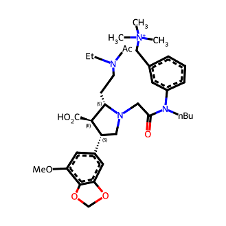 CCCCN(C(=O)CN1C[C@H](c2cc(OC)c3c(c2)OCO3)[C@@H](C(=O)O)[C@@H]1CCN(CC)C(C)=O)c1cccc(C[N+](C)(C)C)c1